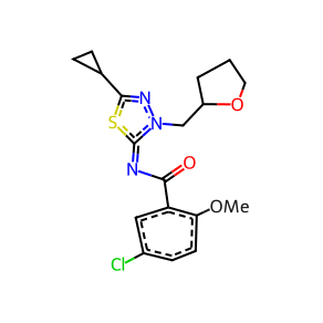 COc1ccc(Cl)cc1C(=O)N=c1sc(C2CC2)nn1CC1CCCO1